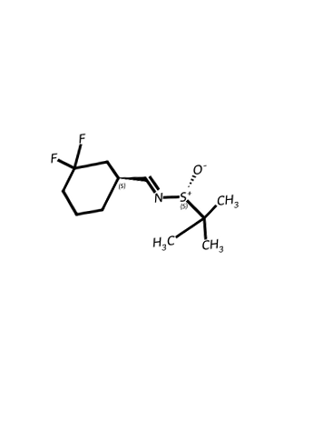 CC(C)(C)[S@@+]([O-])N=C[C@H]1CCCC(F)(F)C1